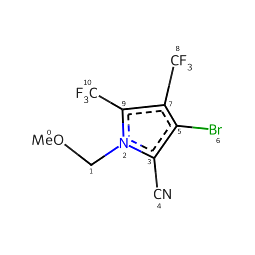 COCn1c(C#N)c(Br)c(C(F)(F)F)c1C(F)(F)F